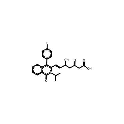 CC(C)n1c(/C=C/C(O)CC(=O)CC(=O)O)c(-c2ccc(F)cc2)c2ccccc2c1=O